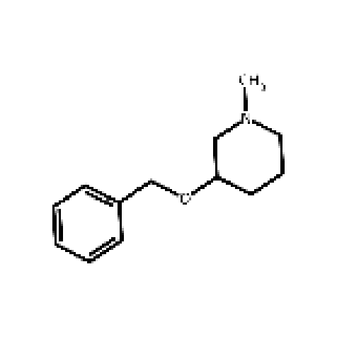 CN1CCCC(OCc2ccccc2)C1